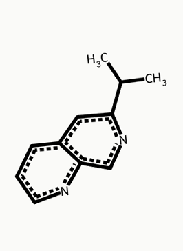 CC(C)c1cc2cccnc2cn1